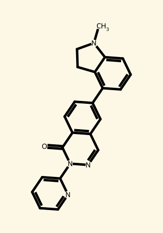 CN1CCc2c(-c3ccc4c(=O)n(-c5ccccn5)ncc4c3)cccc21